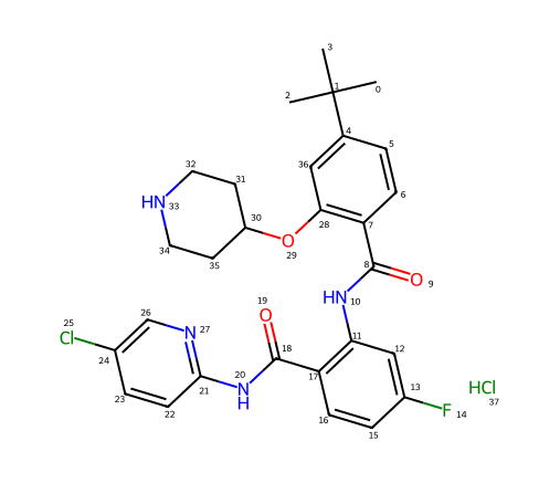 CC(C)(C)c1ccc(C(=O)Nc2cc(F)ccc2C(=O)Nc2ccc(Cl)cn2)c(OC2CCNCC2)c1.Cl